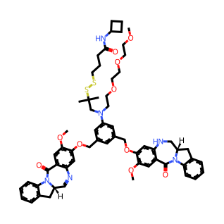 COCCOCCOCCN(CC(C)(C)SSCCCC(=O)NC1CCC1)c1cc(COc2cc3c(cc2OC)C(=O)N2c4ccccc4C[C@H]2C=N3)cc(COc2cc3c(cc2OC)C(=O)N2c4ccccc4C[C@H]2CN3)c1